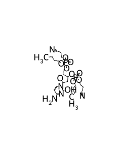 CCCCOP(=O)(OCCC#N)OC[C@H]1O[C@@H](N2C=CC(N)=NC2O)C[C@@H]1OP(=O)(OCCC#N)OCCCC